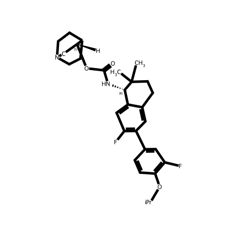 CC(C)Oc1ccc(-c2cc3c(cc2F)[C@H](NC(=O)O[C@@H]2CN4CCC2CC4)C(C)(C)CC3)cc1F